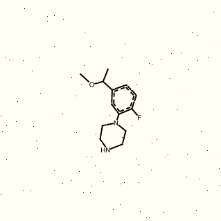 COC(C)c1ccc(F)c(N2CCNCC2)c1